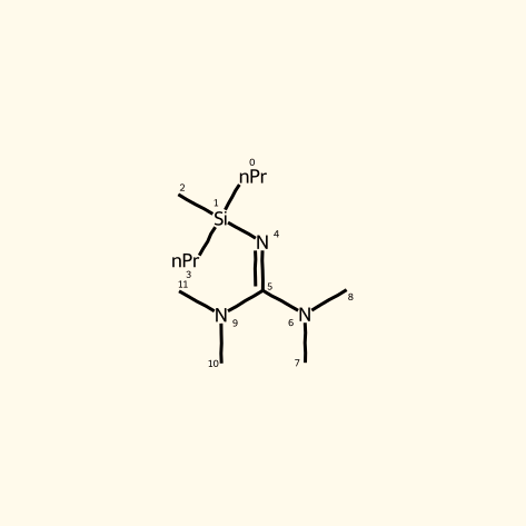 CCC[Si](C)(CCC)N=C(N(C)C)N(C)C